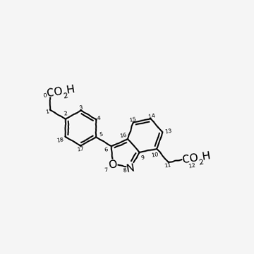 O=C(O)Cc1ccc(-c2onc3c(CC(=O)O)cccc23)cc1